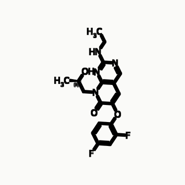 CCNc1ncc2cc(Oc3ccc(F)cc3F)c(=O)n(C[C@@H](C)O)c2n1